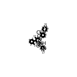 Cc1ccccc1-c1nc(N[S+]([O-])c2cnn(C)c2)nc(Oc2cccc(N3CCN(C)CC3)c2Cl)c1C